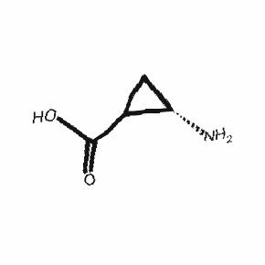 N[C@H]1CC1C(=O)O